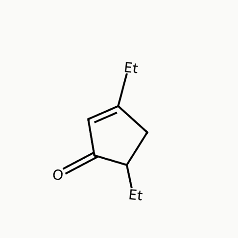 CCC1=CC(=O)C(CC)C1